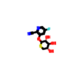 N#Cc1ncc(F)cc1O[C@@H]1SC[C@@H](O)[C@H](O)[C@H]1O